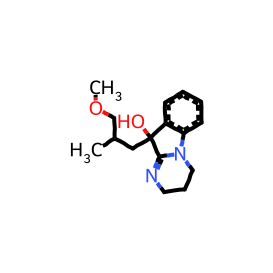 COCC(C)CC1(O)C2=NCCCN2c2ccccc21